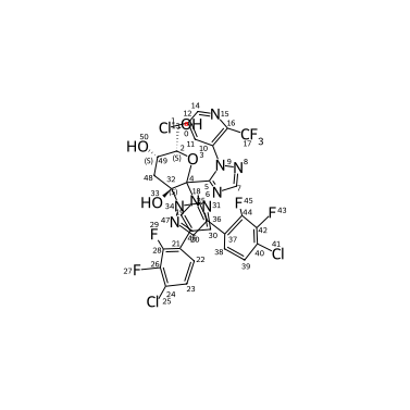 OC[C@@H]1OC(c2ncnn2-c2cc(Cl)cnc2C(F)(F)F)(n2cc(-c3ccc(Cl)c(F)c3F)cn2)[C@](O)(n2cc(-c3ccc(Cl)c(F)c3F)cn2)C[C@@H]1O